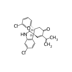 C=C(C)C1=C[C@@]2(C(=O)Nc3cc(Cl)ccc32)[C@H](c2cccc(Cl)c2)CC1=O